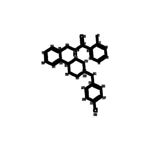 Cc1ccccc1C(=O)NCc1ccccc1C1CCN(Cc2ccc(Cl)cc2)CC1